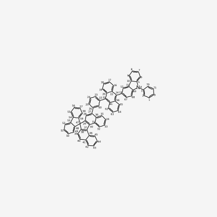 c1ccc(-n2c3ccccc3c3cc(-c4c5ccccc5c(-c5cccc(-c6cc7c(c8ccccc68)-c6c(ccc8ccccc68)C76c7ccccc7-c7ccccc76)c5)c5ccccc45)ccc32)cc1